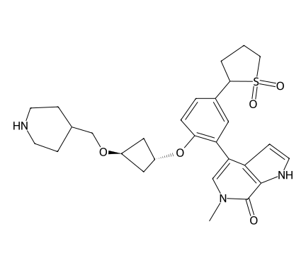 Cn1cc(-c2cc(C3CCCS3(=O)=O)ccc2O[C@H]2C[C@H](OCC3CCNCC3)C2)c2cc[nH]c2c1=O